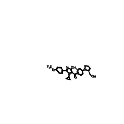 Cc1nc(-c2ccc(OC(F)(F)F)cc2)n(C2CC2)c1C(=O)N1CCC(N2CCC[C@H]2CO)CC1